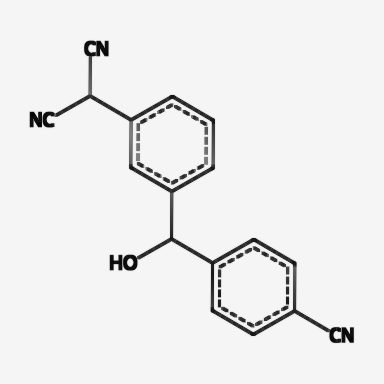 N#Cc1ccc(C(O)c2cccc(C(C#N)C#N)c2)cc1